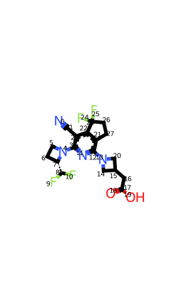 N#Cc1c(N2CC[C@H]2C(F)F)nc(N2CC(CC(=O)O)C2)c2c1C(F)(F)CC2